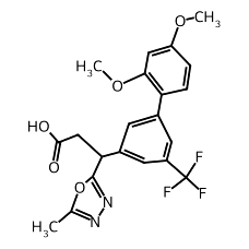 COc1ccc(-c2cc(C(CC(=O)O)c3nnc(C)o3)cc(C(F)(F)F)c2)c(OC)c1